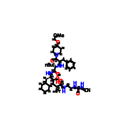 CCCC[C@H](NC(Cc1ccccc1)C(=O)N1CCC(OCOC)CC1)C(=O)N[C@@H](CC1CCCCC1)[C@@H](O)C[C@H](C(=O)NCCNC(=O)NC#N)C(C)C